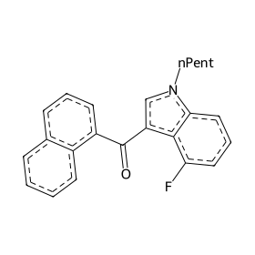 CCCCCn1cc(C(=O)c2cccc3ccccc23)c2c(F)cccc21